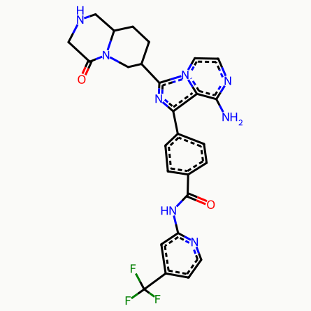 Nc1nccn2c(C3CCC4CNCC(=O)N4C3)nc(-c3ccc(C(=O)Nc4cc(C(F)(F)F)ccn4)cc3)c12